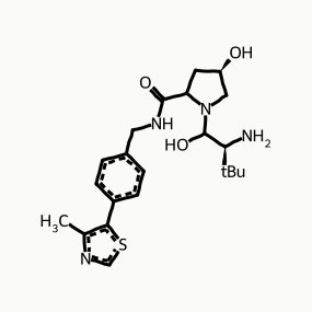 Cc1ncsc1-c1ccc(CNC(=O)C2C[C@@H](O)CN2C(O)[C@@H](N)C(C)(C)C)cc1